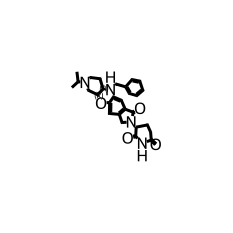 CC(C)N1CC[C@@H](NCc2ccccc2)[C@H](Oc2ccc3c(c2)CN(C2CCC(=O)NC2=O)C3=O)C1